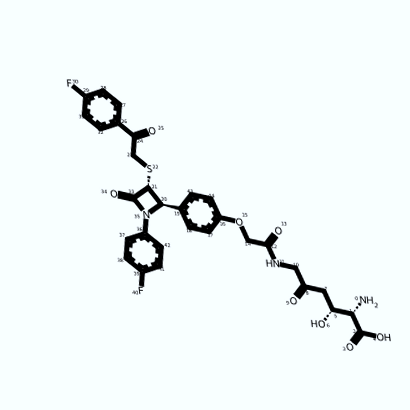 N[C@H](C(=O)O)[C@H](O)CC(=O)CNC(=O)COc1ccc([C@@H]2[C@@H](SCC(=O)c3ccc(F)cc3)C(=O)N2c2ccc(F)cc2)cc1